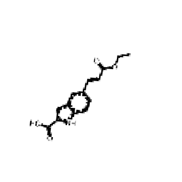 CCOC(=O)C=Cc1ccc2[nH]c(C(=O)O)cc2c1